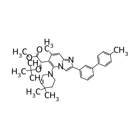 COC(=O)[C@@H](OC(C)(C)C)c1c(C)cc2nc(-c3cccc(-c4ccc(C)cc4)c3)cn2c1N1CCC(C)(C)CC1